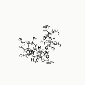 CCCC1O[C@@H]2CC3[C@@H]4C[C@H](F)C5=CC(=O)C=C[C@]5(C)[C@@]4(F)[C@@H](C=O)C[C@]3(C)[C@]2(C(=O)COC(=O)C(C)(C)NC(=O)[C@@H](N)CC(C)C)O1